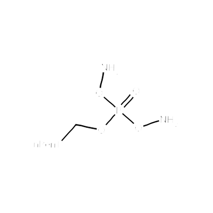 CCCCCCOP(=O)(ON)ON